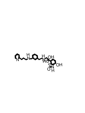 O=c1[nH]c2c(O)ccc(C(O)(O)CNCCc3cccc(CNCCCc4ccccn4)c3)c2s1